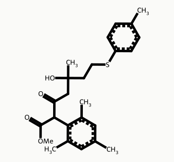 COC(=O)C(C(=O)CC(C)(O)CCSc1ccc(C)cc1)c1c(C)cc(C)cc1C